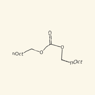 CCCCCCCCCOC(=O)OCCCCCCCCC